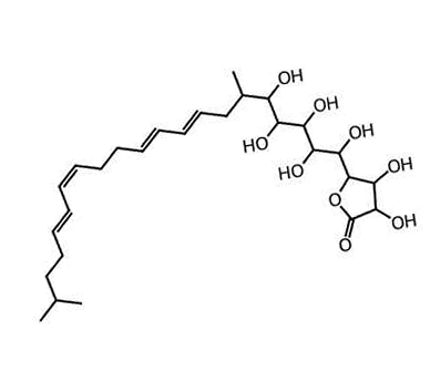 CC(C)CC/C=C/C=C\CC/C=C/C=C/CC(C)C(O)C(O)C(O)C(O)C(O)C1OC(=O)C(O)C1O